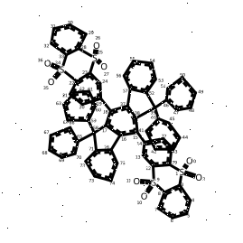 O=S1(=O)c2ccccc2S(=O)(=O)c2cc(-c3c4c(c(-c5ccc6c(c5)S(=O)(=O)c5ccccc5S6(=O)=O)c5c3C(c3ccccc3)(c3ccccc3)c3ccccc3-5)C(c3ccccc3)(c3ccccc3)c3ccccc3-4)ccc21